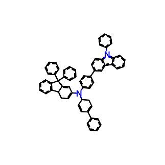 C1=CC(N(C2=CCC3C(=C2)C(c2ccccc2)(c2ccccc2)c2ccccc23)c2ccc(-c3ccc4c(c3)c3ccccc3n4-c3ccccc3)cc2)CC=C1c1ccccc1